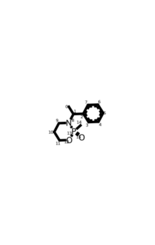 CC(c1ccccc1)N1CCCOP1(C)=O